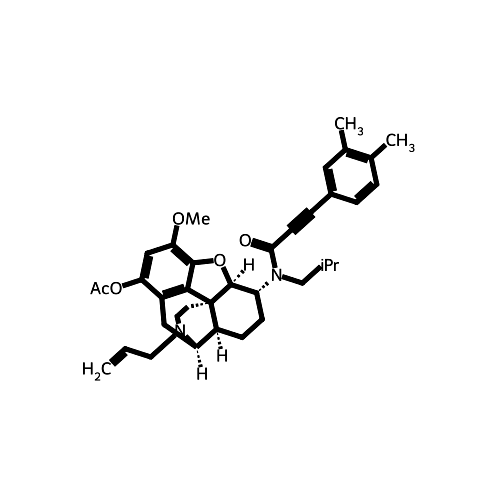 C=CCN1CC[C@]23c4c5c(OC(C)=O)cc(OC)c4O[C@H]2[C@H](N(CC(C)C)C(=O)C#Cc2ccc(C)c(C)c2)CC[C@H]3[C@H]1C5